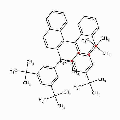 CN(C)c1ccc2ccccc2c1-c1c(P(c2cc(C(C)(C)C)cc(C(C)(C)C)c2)c2cc(C(C)(C)C)cc(C(C)(C)C)c2)ccc2ccccc12